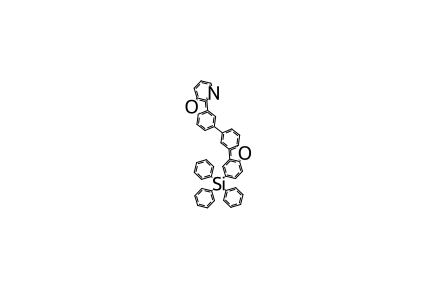 c1ccc([Si](c2ccccc2)(c2ccccc2)c2ccc3oc4ccc(-c5ccc6oc7cccnc7c6c5)cc4c3c2)cc1